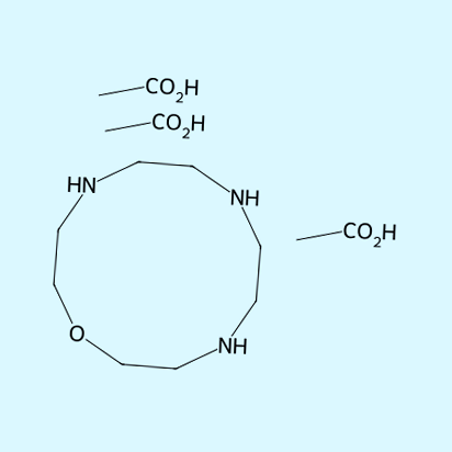 C1CNCCOCCNCCN1.CC(=O)O.CC(=O)O.CC(=O)O